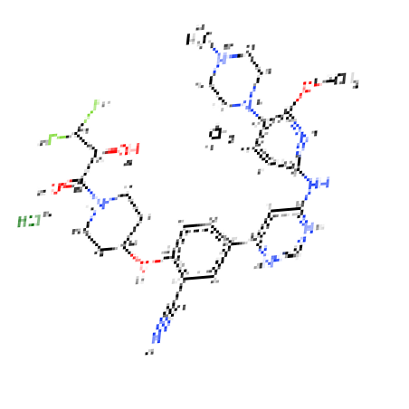 COc1nc(Nc2cc(-c3ccc(OC4CCN(C(=O)[C@H](O)C(F)F)CC4)c(C#N)c3)ncn2)ccc1N1CCN(C)C[C@H]1C.Cl